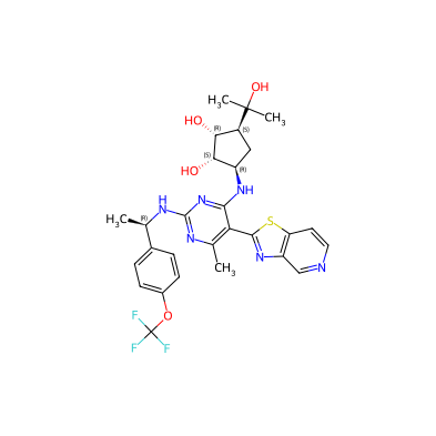 Cc1nc(N[C@H](C)c2ccc(OC(F)(F)F)cc2)nc(N[C@@H]2C[C@H](C(C)(C)O)[C@@H](O)[C@H]2O)c1-c1nc2cnccc2s1